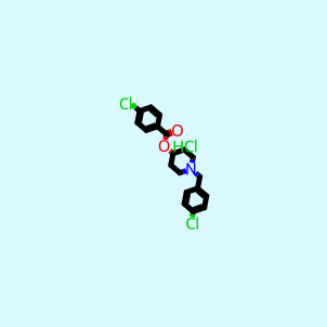 Cl.O=C(OC1CCN(Cc2ccc(Cl)cc2)CC1)c1ccc(Cl)cc1